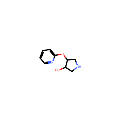 OC1CNCC1Oc1ccccn1